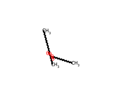 CCCCCCCC/C=C/CCCCCCCC(=O)OCC(CCCCCC)OC(=O)CCCCCCC/C=C/CCCCCCCC